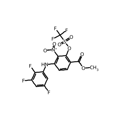 COC(=O)c1ccc(Nc2cc(F)cc(F)c2F)c([N+](=O)[O-])c1OS(=O)(=O)C(F)(F)F